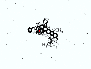 COc1c2c(c(OC(=O)OC(C)(C)C)c3cc(C=O)ccc13)C(=O)C1=C(O)C3(O[Si](C)(C)C(C)(C)C)C(=O)c4c(OCc5ccccc5)noc4[C@@H](N4CCOCC4)[C@@H]3C[C@@H]1C2